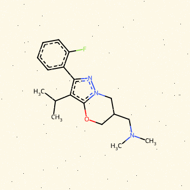 CC(C)c1c(-c2ccccc2F)nn2c1OCC(CN(C)C)C2